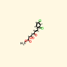 COC(=O)CC(O)CC(=O)C=Cc1ccc(Cl)cc1Cl